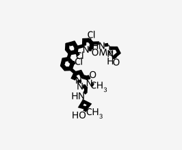 COc1nc(-c2cccc(-c3cccc(-c4cc5c(=O)n(C)c(CN[C@H]6C[C@](C)(O)C6)nn5c4)c3Cl)c2Cl)cc(Cl)c1CNC[C@@H]1CCC(=O)N1